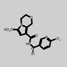 CC[C@@H](NC(=O)c1cc(C(=O)O)n2c1COCC2)c1ccc(C(F)(F)F)nc1